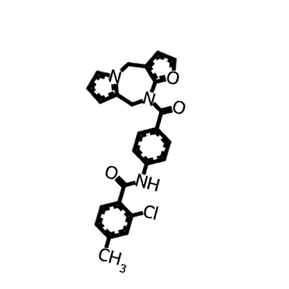 Cc1ccc(C(=O)Nc2ccc(C(=O)N3Cc4cccn4Cc4ccoc43)cc2)c(Cl)c1